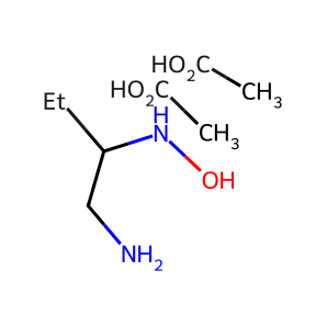 CC(=O)O.CC(=O)O.CCC(CN)NO